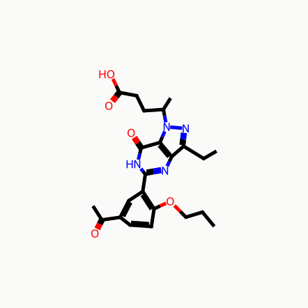 CCCOc1ccc(C(C)=O)cc1-c1nc2c(CC)nn(C(C)CCC(=O)O)c2c(=O)[nH]1